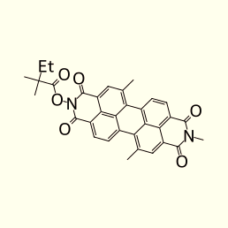 CCC(C)(C)C(=O)ON1C(=O)c2ccc3c4c(C)cc5c6c(ccc(c7c(C)cc(c2c37)C1=O)c64)C(=O)N(C)C5=O